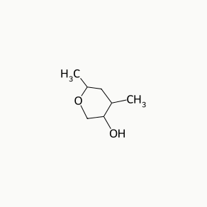 CC1CC(C)C(O)CO1